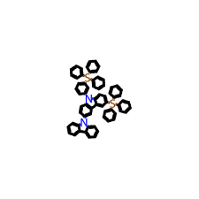 c1ccc(S(c2ccccc2)(c2ccccc2)c2cccc(-n3c4ccc(-n5c6ccccc6c6ccccc65)cc4c4cc(S(c5ccccc5)(c5ccccc5)c5ccccc5)ccc43)c2)cc1